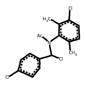 CC(=O)N(c1c(C)ccc(Cl)c1C)C(Cl)c1ccc(Cl)cc1